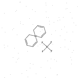 C1=CC[N+]2(C=C1)C=CC=CC2.F[B-](F)(F)F